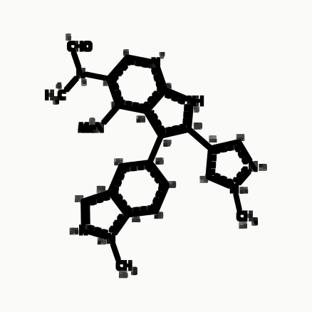 CNc1c(N(C)C=O)cnc2[nH]c(-c3cnn(C)c3)c(-c3ccc4c(cnn4C)c3)c12